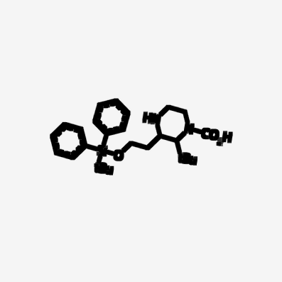 CC(C)(C)C1C(CCO[Si](c2ccccc2)(c2ccccc2)C(C)(C)C)NCCN1C(=O)O